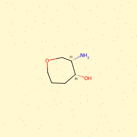 N[C@H]1COCCC[C@H]1O